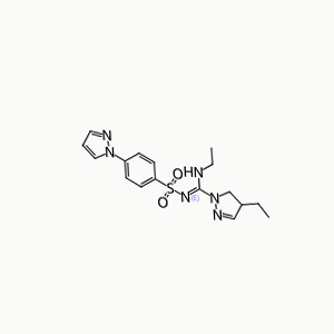 CCN/C(=N\S(=O)(=O)c1ccc(-n2cccn2)cc1)N1CC(CC)C=N1